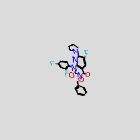 O=c1c2cc(F)c(N3CCCC3)nc2n(-c2ccc(F)cc2F)c(=O)n1OCc1ccccc1